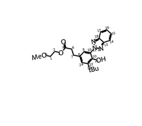 COCCOC(=O)CCc1cc(-n2nc3ccccc3n2)c(O)c(C(C)(C)C)c1